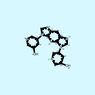 Oc1cncc(-n2cnc3cc4ncn(-c5cncc(O)c5)c4nc32)c1